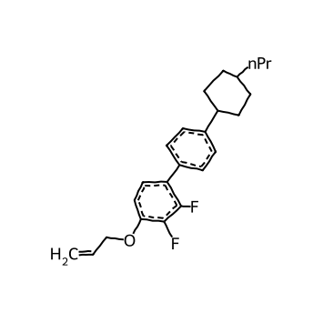 C=CCOc1ccc(-c2ccc(C3CCC(CCC)CC3)cc2)c(F)c1F